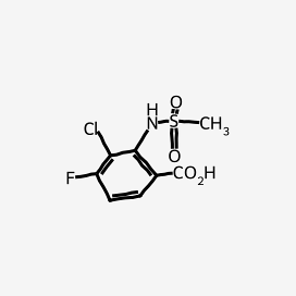 CS(=O)(=O)Nc1c(C(=O)O)ccc(F)c1Cl